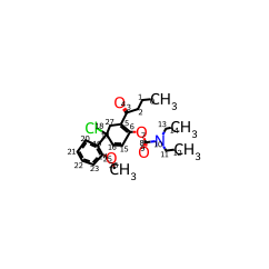 CCCC(=O)C1=C(OC(=O)N(CC)CC)C=CC(Cl)(c2ccccc2OC)C1